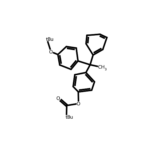 CC(C)(C)Oc1ccc(C(C)(c2ccccc2)c2ccc(OC(=O)C(C)(C)C)cc2)cc1